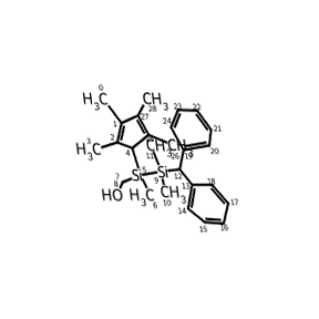 CC1=C(C)C([Si](C)(CO)[Si](C)(C)C(c2ccccc2)c2ccccc2)C(C)=C1C